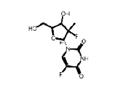 CC1(F)C(O)C(CO)O[C@H]1n1cc(F)c(=O)[nH]c1=O